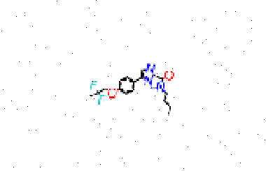 CCCCN1Cn2c(-c3ccc(OCC(C)(F)F)cc3)cnc2C1=O